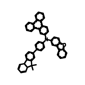 CC1(C)c2cc(-c3ccc(N(c4ccc5oc6ccccc6c5c4)c4ccc5c6ccccc6c6ccccc6c5c4)cc3)ccc2C2C=CC=CC21